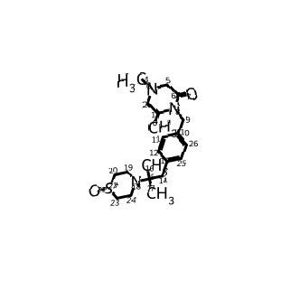 CC1CN(C)CC(=O)N1Cc1ccc(CC(C)(C)N2CC[S+]([O-])CC2)cc1